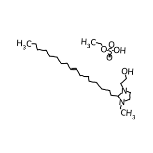 CCCCCCCCC=CCCCCCCCC1N(CC)CCN1CCO.CCOS(=O)(=O)O